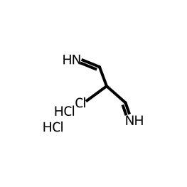 Cl.Cl.N=CC(Cl)C=N